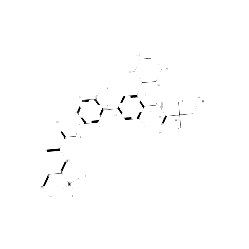 C=C(/C=C(\C=C/C)C(F)(F)F)C(=O)Nc1ccc(C)c(-c2cc(C)c(NC(=O)C(C)(C)CO)c(C3CCOCC3)c2)c1